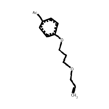 C=CCOCCCOc1ccc(C(C)=O)cc1